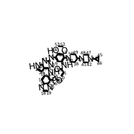 C=CC(=O)Nc1cc(Nc2nc(Nc3ccc4nccnc4c3P(C)(C)=O)c3cc[nH]c3n2)c2c(c1N1CCC(N3CCN(C4CC4)CC3)CC1)OCCO2